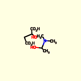 CC(O)N(C)C.O=C(O)CC(O)C(=O)O